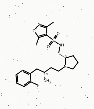 Cc1noc(C)c1S(=O)(=O)NC[C@@H]1CCCN1CC[C@H](N)Cc1ccccc1F